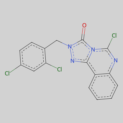 O=c1n(Cc2ccc(Cl)cc2Cl)nc2c3ccccc3nc(Cl)n12